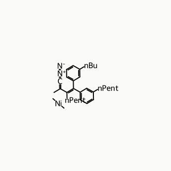 CCCCCC(C(C)=C=[N+]=[N-])=C(c1cccc(CCCC)c1)c1cccc(CCCCC)c1.[CH3][Ni][CH3]